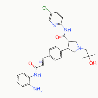 CC(C)(O)CN1CC(C(=O)Nc2ccc(Cl)cn2)C(c2ccc(/C=C/C(=O)Nc3ccccc3N)cc2)C1